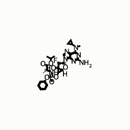 CC(C)OC(=O)[C@@H](C)N[P@@](=O)(Oc1ccccc1)OC1[C@H]2O[C@@H](n3cnc4c(N(C)C5CC5)nc(N)nc43)[C@H](F)[C@@]12O